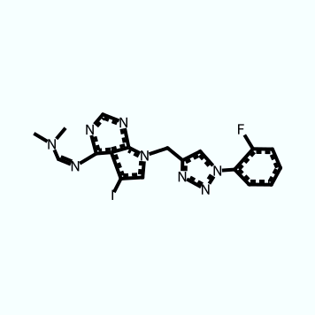 CN(C)/C=N\c1ncnc2c1c(I)cn2Cc1cn(-c2ccccc2F)nn1